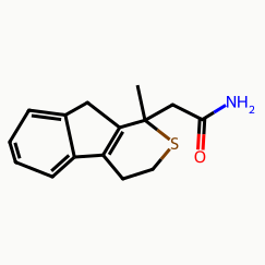 CC1(CC(N)=O)SCCC2=C1Cc1ccccc12